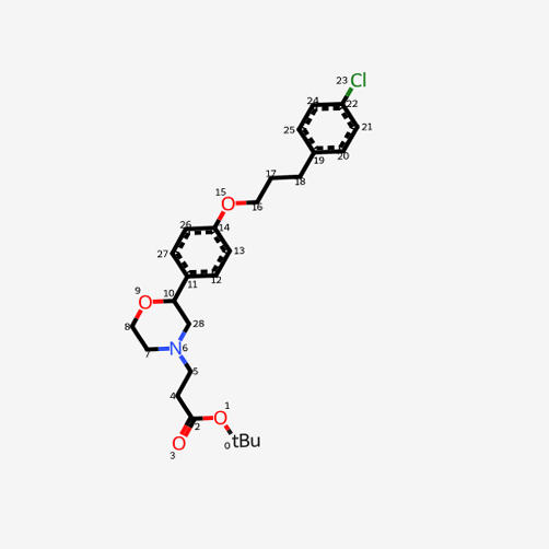 CC(C)(C)OC(=O)CCN1CCOC(c2ccc(OCCCc3ccc(Cl)cc3)cc2)C1